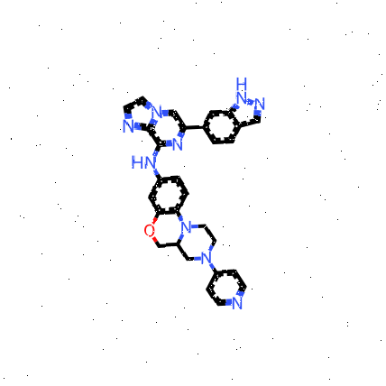 c1cc(N2CCN3c4ccc(Nc5nc(-c6ccc7cn[nH]c7c6)cn6ccnc56)cc4OCC3C2)ccn1